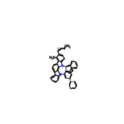 C=C/C=C\c1ccc2c(c1C)c1ccc3c4ccccc4n(-c4cc(-c5ccccc5)cc(-c5ccccc5)c4)c3c1n2-c1ccccc1